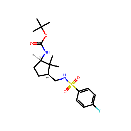 CC(C)(C)OC(=O)N[C@]1(C)CC[C@H](CNS(=O)(=O)c2ccc(F)cc2)C1(C)C